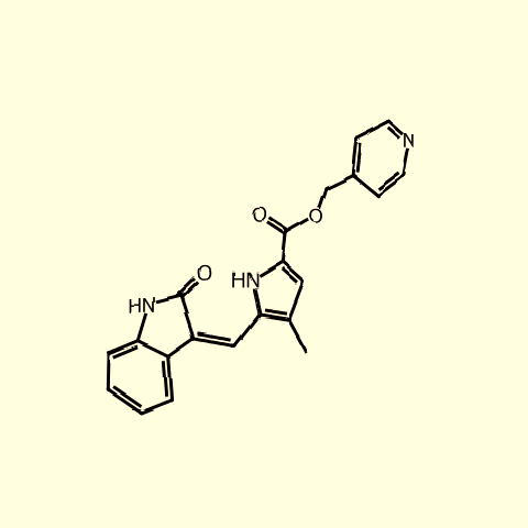 Cc1cc(C(=O)OCc2ccncc2)[nH]c1C=C1C(=O)Nc2ccccc21